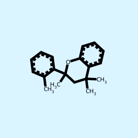 Cc1ccccc1C1(C)CC(C)(C)c2ccccc2O1